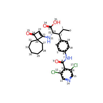 CCC(c1ccc(NC(=O)c2c(Cl)cncc2Cl)cc1)[C@H](NC1=CC(=O)C12CCCCCC2)C(=O)O